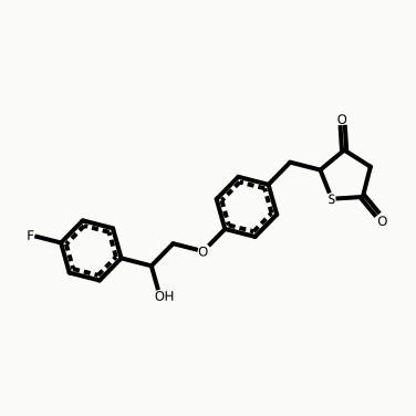 O=C1CC(=O)C(Cc2ccc(OCC(O)c3ccc(F)cc3)cc2)S1